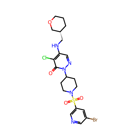 O=c1c(Cl)c(NC[C@H]2CCCOC2)cnn1C1CCN(S(=O)(=O)c2cncc(Br)c2)CC1